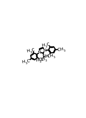 CNC1N(c2c(C)cc(C)cc2C)C=CN1c1c(C)cc(C)cc1C